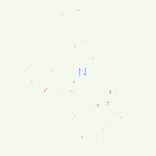 CC1(C)c2ccccc2-c2ccc(N(c3ccc4oc5ccccc5c4c3)c3cccc4c3-c3ccccc3C43c4ccccc4-c4ccccc43)cc21